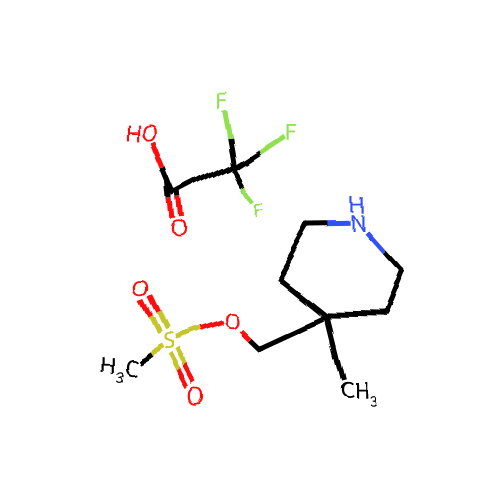 CC1(COS(C)(=O)=O)CCNCC1.O=C(O)C(F)(F)F